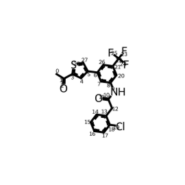 CC(=O)c1cc(-c2cc(NC(=O)Cc3ccccc3Cl)cc(C(F)(F)F)c2)cs1